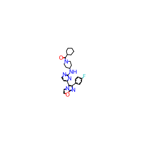 O=C(C1CCCCC1)N1CCC(Nc2nccc(-c3c(-c4ccc(F)cc4)nc4occn34)n2)CC1